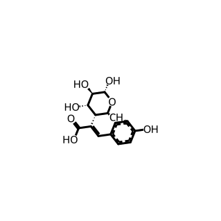 C[C@@H]1O[C@@H](O)[C@H](O)[C@@H](O)[C@H]1/C(=C\c1ccc(O)cc1)C(=O)O